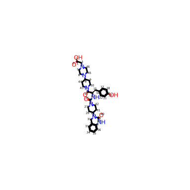 O=C(O)CN1CCN(C2CCN(C(=O)[C@@H](Cc3ccc(O)cc3)NC(=O)N3CCC(N4Cc5ccccc5NC4=O)CC3)CC2)CC1